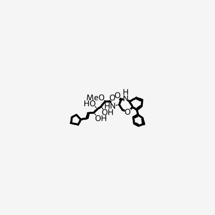 CO[C@@H](C(=O)N[C@H]1COC2C(c3ccccc3)=CC=CC2NC1=O)[C@H](O)[C@@H](O)[C@H](O)/C=C/C1CCCC1